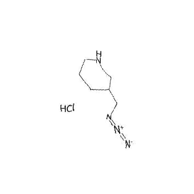 Cl.[N-]=[N+]=NCC1CCCNC1